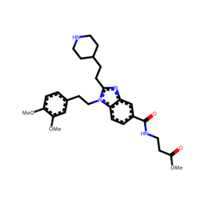 COC(=O)CCNC(=O)c1ccc2c(c1)nc(CCC1CCNCC1)n2CCc1ccc(OC)c(OC)c1